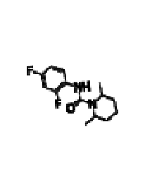 CC1CCCC(C)N1C(=O)Nc1ccc(F)cc1F